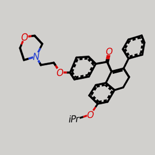 CC(C)Oc1ccc2c(c1)CCC(c1ccccc1)=C2C(=O)c1ccc(OCCN2CCOCC2)cc1